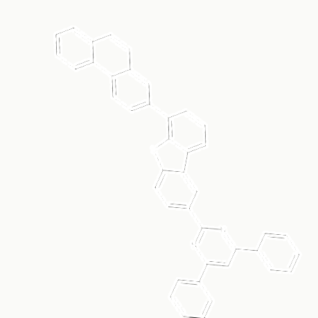 c1ccc(-c2cc(-c3ccccc3)nc(-c3ccc4sc5c(-c6ccc7c(ccc8ccccc87)c6)cccc5c4c3)n2)cc1